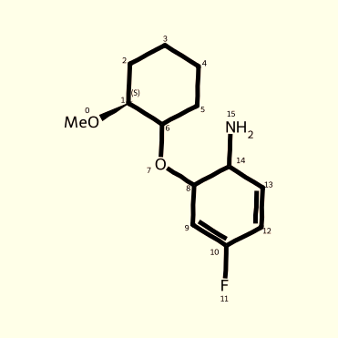 CO[C@H]1CCCCC1OC1C=C(F)C=CC1N